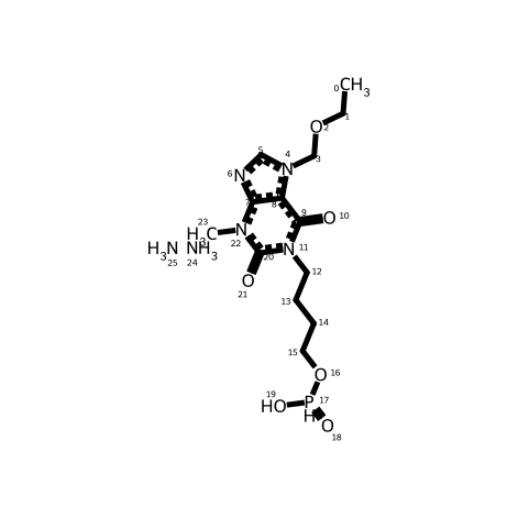 CCOCn1cnc2c1c(=O)n(CCCCO[PH](=O)O)c(=O)n2C.N.N